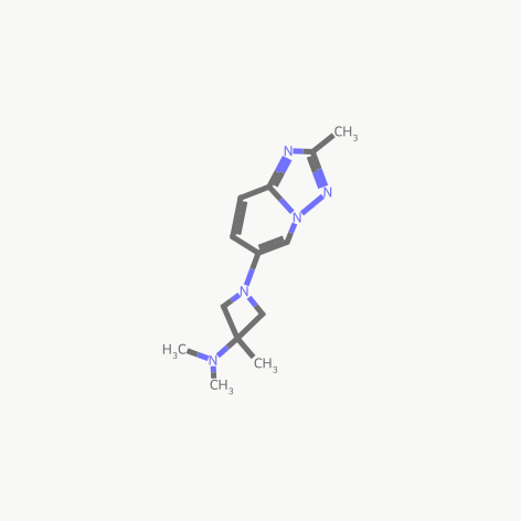 Cc1nc2ccc(N3CC(C)(N(C)C)C3)cn2n1